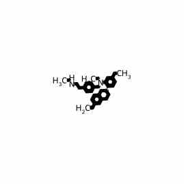 C=Cc1ccc2c(c1)CC[C@@H](c1ccc(CC)cc1N(CC)Cc1ccc(CCNCC)cc1)C2